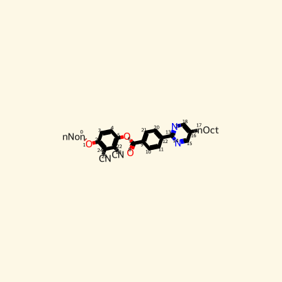 CCCCCCCCCOc1ccc(OC(=O)c2ccc(-c3ncc(CCCCCCCC)cn3)cc2)c(C#N)c1C#N